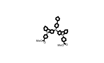 COC(=O)c1ccc(-n2c3ccccc3c3cc(N(c4ccc(-c5ccccc5)cc4)c4ccc5c(c4)c4ccccc4n5-c4ccc(C(=O)OC)cc4)ccc32)cc1